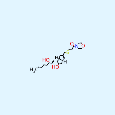 CCCCC[C@H](O)/C=C/[C@@H]1[C@H]2CC(CSCCC(=O)N3CCOCC3)=C[C@H]2C[C@H]1O